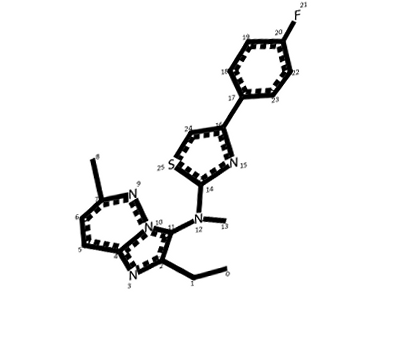 CCc1nc2ccc(C)nn2c1N(C)c1nc(-c2ccc(F)cc2)cs1